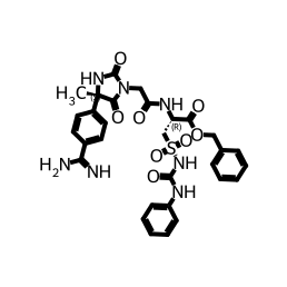 C[C@@]1(c2ccc(C(=N)N)cc2)NC(=O)N(CC(=O)N[C@@H](CS(=O)(=O)NC(=O)Nc2ccccc2)C(=O)OCc2ccccc2)C1=O